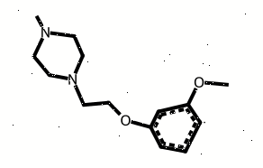 COc1[c]ccc(OCCN2CCN(C)CC2)c1